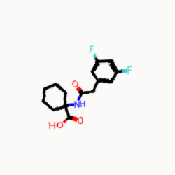 O=C(Cc1cc(F)cc(F)c1)NC1(C(=O)O)CCCCC1